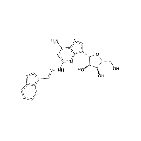 Nc1nc(NN=Cc2ccc3ccccn23)nc2c1ncn2[C@@H]1O[C@H](CO)[C@@H](O)[C@H]1O